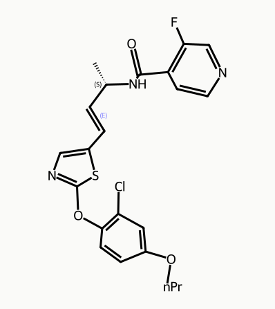 CCCOc1ccc(Oc2ncc(/C=C/[C@H](C)NC(=O)c3ccncc3F)s2)c(Cl)c1